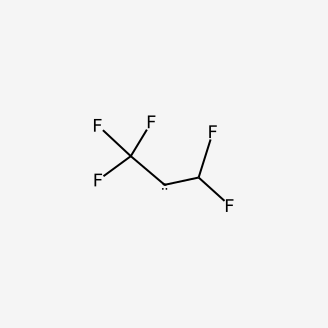 FC(F)[C]C(F)(F)F